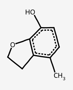 Cc1ccc(O)c2c1CCO2